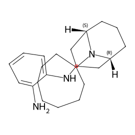 Nc1ccccc1NC1C[C@H]2CCC[C@@H](C1)N2C1CCCCCCC1